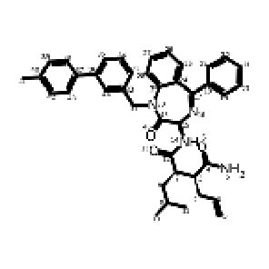 C=CC[C@H](C(N)=O)[C@@H](CC(C)C)C(=O)NC1N=C(c2ccccc2)c2ccccc2N(Cc2cccc(-c3ccc(C)cc3)c2)C1=O